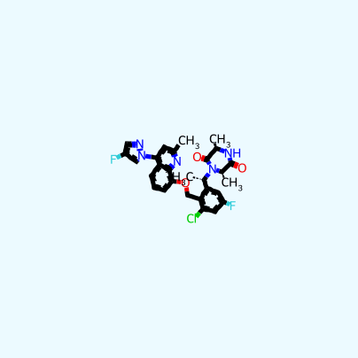 Cc1cc(-n2cc(F)cn2)c2cccc(OCc3c(Cl)cc(F)cc3[C@H](C)N3C(=O)[C@@H](C)NC(=O)[C@@H]3C)c2n1